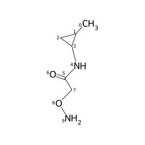 CC1CC1NC(=O)CON